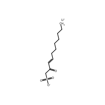 CCCCCCCC=CC(=O)CS(=O)(=O)[O-].[Li+]